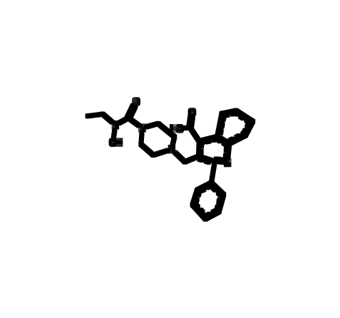 CCN(O)C(=O)N1CCN(Cc2c(-c3ccccc3)nc3ccccc3c2C(=O)O)CC1